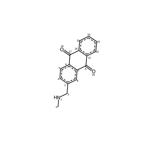 CNCc1ccc2c(c1)C(=O)c1ccccc1C2=O